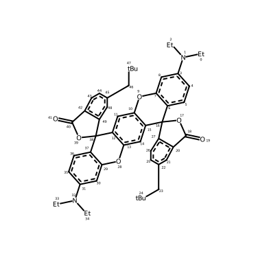 CCN(CC)c1ccc2c(c1)Oc1cc3c(cc1C21OC(=O)c2cc(CC(C)(C)C)ccc21)Oc1cc(N(CC)CC)ccc1C31OC(=O)c2ccc(CC(C)(C)C)cc21